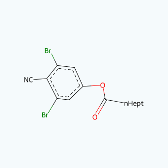 CCCCCCCC(=O)Oc1cc(Br)c(C#N)c(Br)c1